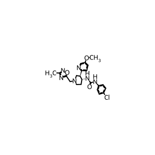 COc1ccc([C@@H]2CN(Cc3nc(C)no3)CC[C@H]2NC(=O)Nc2ccc(Cl)cc2)nc1